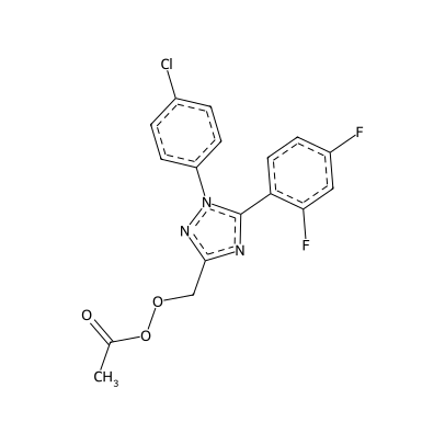 CC(=O)OOCc1nc(-c2ccc(F)cc2F)n(-c2ccc(Cl)cc2)n1